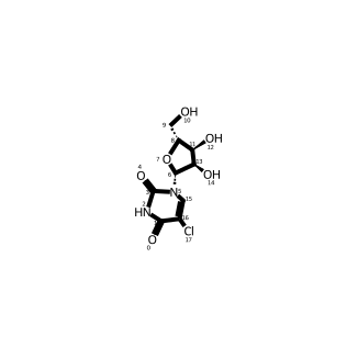 O=c1[nH]c(=O)n([C@@H]2O[C@H](CO)[C@@H](O)[C@H]2O)cc1Cl